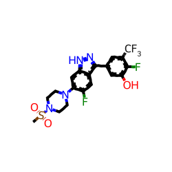 CS(=O)(=O)N1CCN(c2cc3[nH]nc(-c4cc(O)c(F)c(C(F)(F)F)c4)c3cc2F)CC1